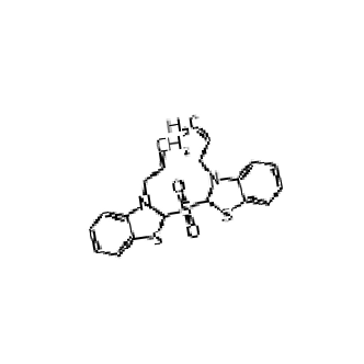 C=CCN1c2ccccc2SC1S(=O)(=O)C1Sc2ccccc2N1CC=C